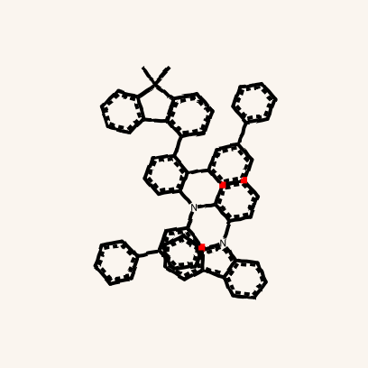 CC1(C)c2ccccc2-c2c(-c3cccc(N(c4cccc(-c5ccccc5)c4)c4ccccc4-n4c5ccccc5c5ccccc54)c3-c3cccc(-c4ccccc4)c3)cccc21